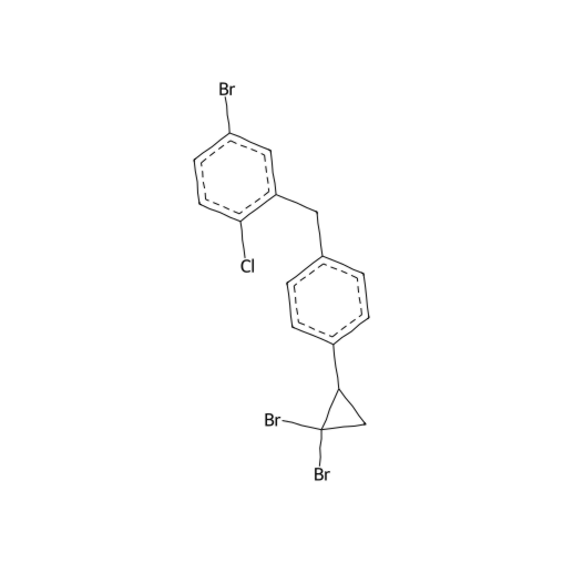 Clc1ccc(Br)cc1Cc1ccc(C2CC2(Br)Br)cc1